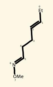 [CH2]CC=CCCC=NOC